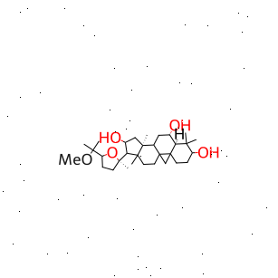 COC(C)(C)C1CC[C@](C)(C2C(O)C[C@@]3(C)C4C[C@H](O)[C@H]5C(C)(C)C(O)CCC56CC46CCC23C)O1